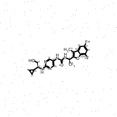 Cc1c([C@H](NC(=O)Nc2cnc(N[C@H](CO)C3CC3)nc2)C(F)(F)F)oc2c(F)cc(F)cc12